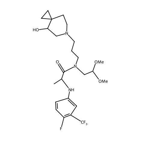 COC(CN(CCCN1CCC2(CC2)C(O)C1)C(=O)C(C)Nc1ccc(F)c(C(F)(F)F)c1)OC